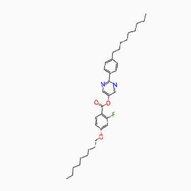 CCCCCCCCCOc1ccc(C(=O)Oc2cnc(-c3ccc(CCCCCCCCC)cc3)nc2)c(F)c1